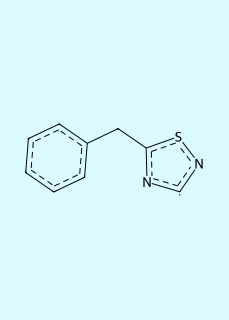 [c]1nsc(Cc2ccccc2)n1